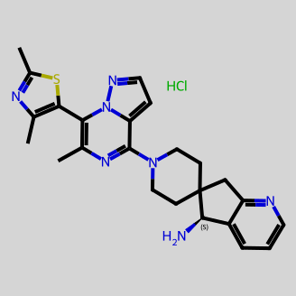 Cc1nc(C)c(-c2c(C)nc(N3CCC4(CC3)Cc3ncccc3[C@H]4N)c3ccnn23)s1.Cl